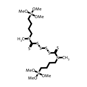 CO[Si](CCCCN(C)C(=S)SSSSC(=S)N(C)CCCC[Si](OC)(OC)OC)(OC)OC